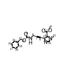 COC(=O)c1c(C#CCNC(=O)OCc2ccccc2)ncn1C